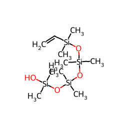 C=C[Si](C)(C)O[Si](C)(C)O[Si](C)(C)O[Si](C)(C)O